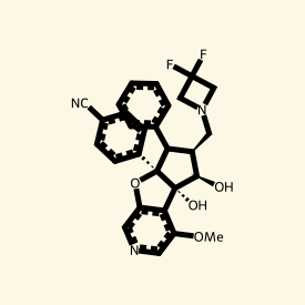 COc1cncc2c1[C@]1(O)[C@H](O)[C@H](CN3CC(F)(F)C3)C(c3ccccc3)[C@]1(c1ccc(C#N)cc1)O2